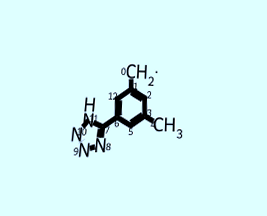 [CH2]c1cc(C)cc(-c2nnn[nH]2)c1